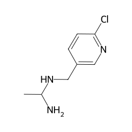 CC(N)NCc1ccc(Cl)nc1